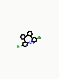 Brc1ccc2[nH]c3ccc(Br)cc3c3ccccc3c3ccccc3c2c1